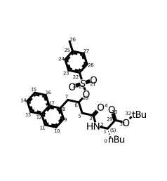 CCCC[C@H](NC(=O)CC(Cc1cccc2ccccc12)OS(=O)(=O)c1ccc(C)cc1)C(=O)OC(C)(C)C